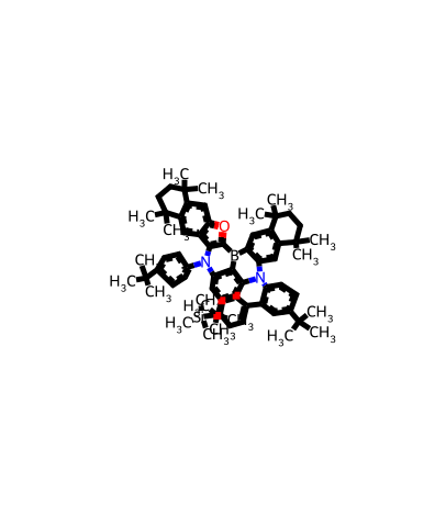 CC(C)(C)c1ccc(N2c3cc(C(C)(C)C)cc4c3B(c3cc5c(cc3N4c3ccc(C(C)(C)C)cc3C3=CCC([Si](C)(C)C)C=C3)C(C)(C)CCC5(C)C)c3oc4cc5c(cc4c32)C(C)(C)CCC5(C)C)cc1